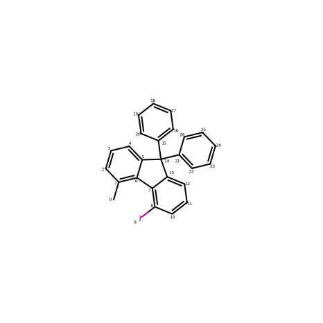 Cc1cccc2c1-c1c(I)cccc1C2(c1ccccc1)c1ccccc1